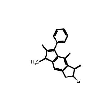 CC1=C(c2ccccc2)c2c(cc3c(c2C)C(C)C(Cl)C3)C1[SiH3]